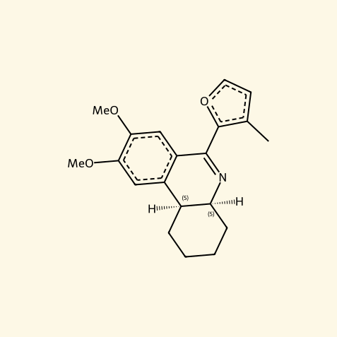 COc1cc2c(cc1OC)[C@@H]1CCCC[C@@H]1N=C2c1occc1C